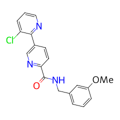 COc1cccc(CNC(=O)c2ccc(-c3ncccc3Cl)cn2)c1